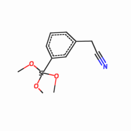 CO[Si](OC)(OC)c1cccc(CC#N)c1